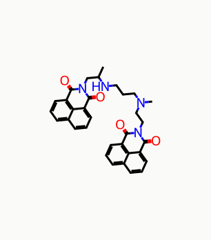 CC(CN1C(=O)c2cccc3cccc(c23)C1=O)NCCCN(C)CCN1C(=O)c2cccc3cccc(c23)C1=O